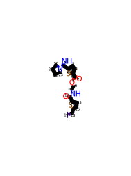 N=C(c1ccc(C(=O)OCCNC(=O)c2ccc(CI)s2)s1)N1CC=CC1